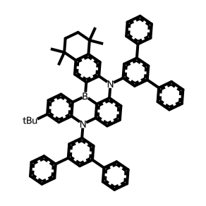 CC(C)(C)c1ccc2c(c1)N(c1cc(-c3ccccc3)cc(-c3ccccc3)c1)c1cccc3c1B2c1cc2c(cc1N3c1cc(-c3ccccc3)cc(-c3ccccc3)c1)C(C)(C)CCC2(C)C